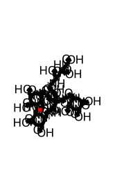 C[C@H](NCCN(CCN(CCNCC(=O)O)CC(=O)O)CC(=O)O)C(=O)NCC(=O)NCC(CNC(=O)CNC(=O)[C@H](C)N1CCN(CC(=O)O)CCN(CC(=O)O)CCN(CC(=O)O)CC1)(CNC(=O)CNC(=O)[C@H](C)N1CCN(CC(=O)O)CCN(CC(=O)O)CCN(CC(=O)O)CC1)CNC(=O)CNC(=O)[C@H](C)N1CCN(CC(=O)O)CCN(CC(=O)O)CCN(CC(=O)O)CC1